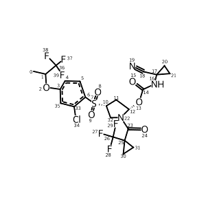 CC(Oc1ccc(S(=O)(=O)[C@@H]2C[C@H](OC(=O)NC3(C#N)CC3)N(C(=O)C3(C(F)(F)F)CC3)C2)c(Cl)c1)C(F)(F)F